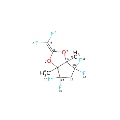 CC12OC(=C(F)F)OC1(C)C(F)(F)CC2(F)F